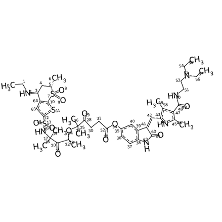 CCN[C@H]1C[C@H](C)S(=O)(=O)c2sc(S(=O)(=O)NC(C)(C)C(=O)[C@H](C)OC(C)(C)C(=O)CCC(=O)Oc3ccc4c(c3)/C(=C/c3[nH]c(C)c(C(=O)NCCN(CC)CC)c3C)C(=O)N4)cc21